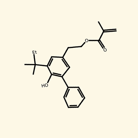 C=C(C)C(=O)OCCc1cc(-c2ccccc2)c(O)c(C(C)(C)CC)c1